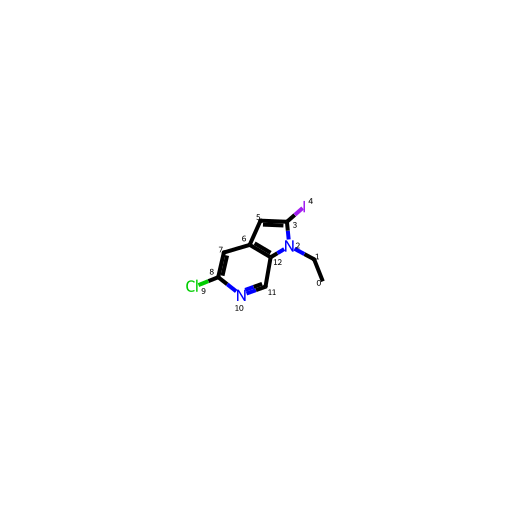 CCn1c(I)cc2cc(Cl)ncc21